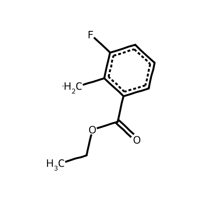 [CH2]c1c(F)cccc1C(=O)OCC